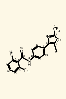 Cc1oc(C(F)(F)F)nc1-c1ccc(NC(=O)c2c(F)cccc2F)cc1